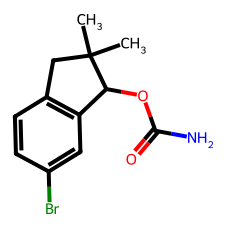 CC1(C)Cc2ccc(Br)cc2C1OC(N)=O